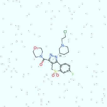 O=C(c1nn([C@H]2CCCN(CCCl)C2)c2c1CS(=O)(=O)c1cc(F)ccc1-2)N1CCOCC1